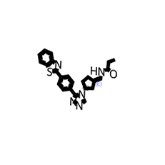 CCC(=O)N/C=C1\CC[C@@H](n2cnnc2-c2ccc(-c3nc4ccccc4s3)cc2)C1